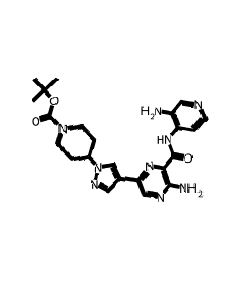 CC(C)(C)OC(=O)N1CCC(n2cc(-c3cnc(N)c(C(=O)Nc4ccncc4N)n3)cn2)CC1